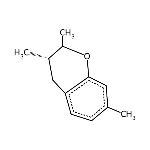 Cc1ccc2c(c1)OC(C)[C@@H](C)C2